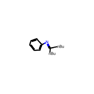 CCCCC(CCCC)=Nc1ccccc1